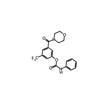 O=C(Nc1ccccc1)Oc1cc(C(=O)N2CCOCC2)cc(C(F)(F)F)c1